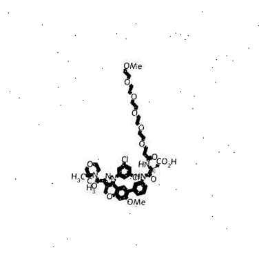 COCCOCCOCCOCCOCCOCCC(=O)N[C@H](CC(=O)O)C(=O)Nc1cccc(-c2cc3c(cc2OC)OCc2c(C(=O)N4CCOCC4(C)C)nn(-c4cc(Cl)cc(Cl)c4)c2-3)c1